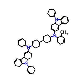 C=C1C=CCCC1N(C1=CCC2C(=C1)c1ccccc1N2C1=CCCCC1)C1CCC(C2CC=C(N(C3=CC4C5=C(CCC=C5)N(C5C=CCCC5)C4CC3)C3CC=CCC3)CC2)CC1